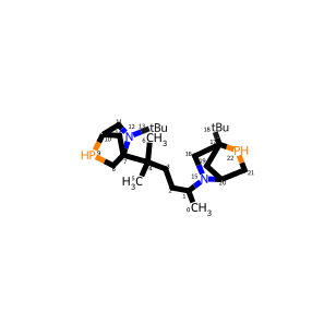 CC(CCC(C)(C)C12CPC(CN1C(C)(C)C)C2)N1CC2(C(C)(C)C)CC1CP2